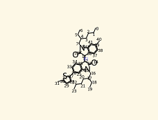 CCCCC(CC)CN1C(=O)/C(=C2/C(=O)N(CC(CC)CCCC)c3cc(-c4ccc(C)s4)ccc32)c2ccc(C)cc21